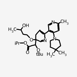 Cc1cc(N2CCC(C)(C)CC2)c(C2=CCC(OCCC(C)O)(C(OC(C)(C)C)C(=O)OC(C)C)C=N2)cn1